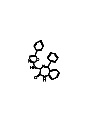 O=C1Nc2ccccc2C(c2ccccc2)=NC1Nc1ncc(-c2ccccc2)o1